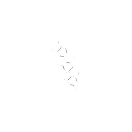 Cc1cc(F)c(-c2cc(F)c(-c3ccc(F)c(F)c3)c(F)c2)c(F)c1